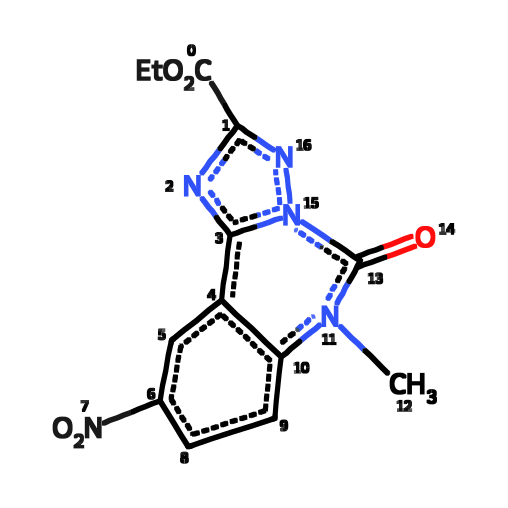 CCOC(=O)c1nc2c3cc([N+](=O)[O-])ccc3n(C)c(=O)n2n1